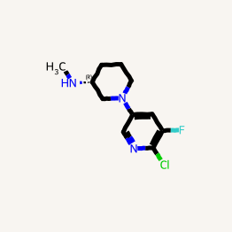 CN[C@@H]1CCCN(c2cnc(Cl)c(F)c2)C1